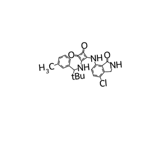 Cc1cccc(C(Nc2c(Nc3ccc(Cl)c4c3C(=O)NC4)c(=O)c2=O)C(C)(C)C)c1